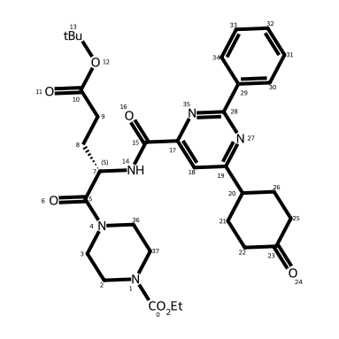 CCOC(=O)N1CCN(C(=O)[C@H](CCC(=O)OC(C)(C)C)NC(=O)c2cc(C3CCC(=O)CC3)nc(-c3ccccc3)n2)CC1